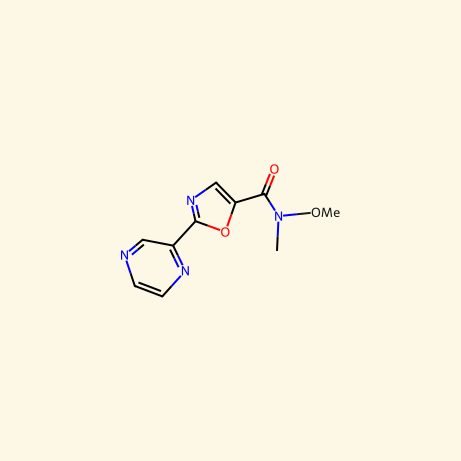 CON(C)C(=O)c1cnc(-c2cnccn2)o1